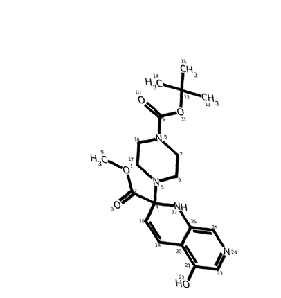 COC(=O)C1(N2CCN(C(=O)OC(C)(C)C)CC2)C=Cc2c(O)cncc2N1